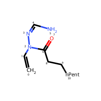 C=CN(/N=C\N)C(=O)CCCCCCC